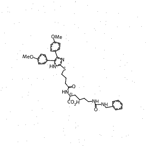 COc1ccc(-c2nc(SCCCC(=O)N[C@@H](CCCCNC(=O)NCc3ccccc3)C(=O)O)[nH]c2-c2ccc(OC)cc2)cc1